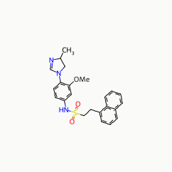 COc1cc(NS(=O)(=O)CCc2cccc3ccccc23)ccc1N1C=NC(C)C1